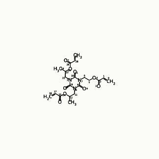 C=CC(=O)OCCn1c(=O)n(CC(C)OC(=O)C=C)c(=O)n(CC(C)OC(=O)C=C)c1=O